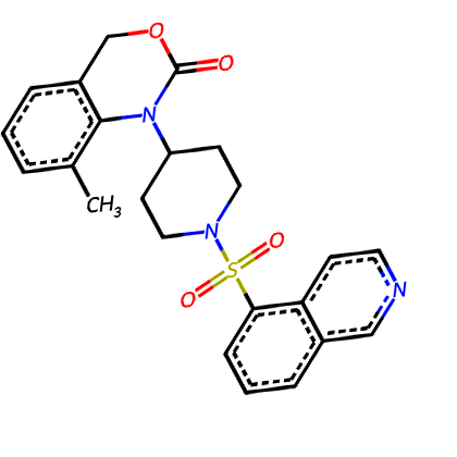 Cc1cccc2c1N(C1CCN(S(=O)(=O)c3cccc4cnccc34)CC1)C(=O)OC2